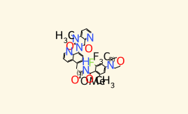 COC(=O)[C@H](Cc1ccc(-n2c(=O)c3ncccc3n(C)c2=O)c2ncccc12)NC(=O)c1c(C)cc(N2CCOC[C@@H]2C(F)(F)F)cc1F